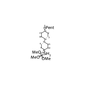 CCCCC[C@H]1CC[C@H]([C@H]2CC[C@H]([SiH2]C(OC)(OC)OC)CC2)CC1